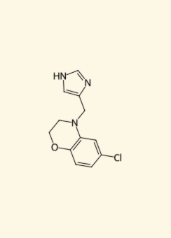 Clc1ccc2c(c1)N(Cc1c[nH]cn1)CCO2